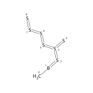 CB=S=S(=S)=S=S=S=S